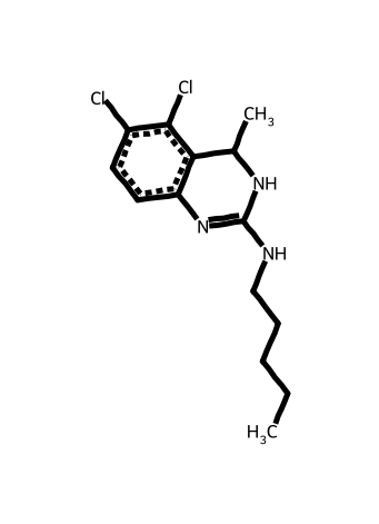 CCCCCNC1=Nc2ccc(Cl)c(Cl)c2C(C)N1